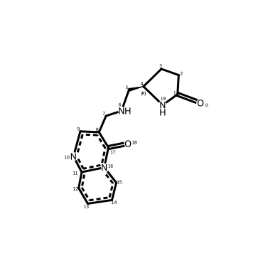 O=C1CC[C@H](CNCc2cnc3ccccn3c2=O)N1